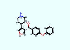 c1ccc(Oc2ccc(CO[C@H]3CNCC[C@@H]3c3ccoc3)cc2)cc1